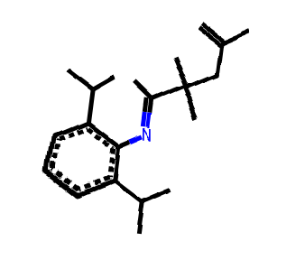 C=C(C)CC(C)(C)C(C)=Nc1c(C(C)C)cccc1C(C)C